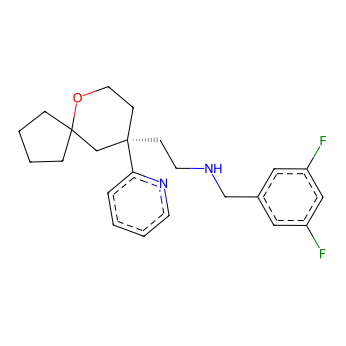 Fc1cc(F)cc(CNCC[C@@]2(c3ccccn3)CCOC3(CCCC3)C2)c1